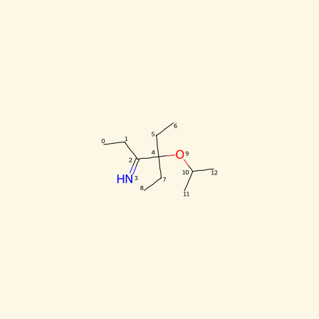 CCC(=N)C(CC)(CC)OC(C)C